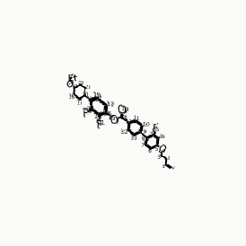 C=CCCOc1ccc(-c2ccc(C(=O)Oc3ccc(C4CCC(OCC)CC4)c(F)c3F)cc2)c(F)c1